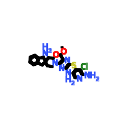 COC(=O)c1nc(Sc2ccnc(N)c2Cl)c(N)nc1N1CCC2(CC1)Cc1ccccc1[C@H]2N